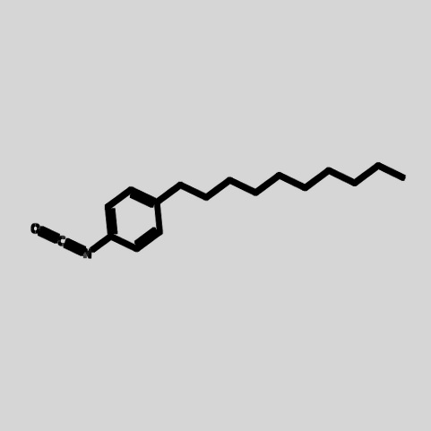 CCCCCCCCCCc1ccc(N=C=O)cc1